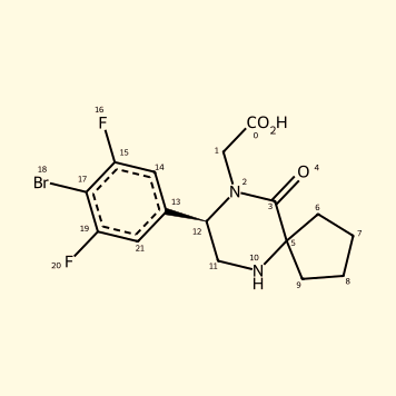 O=C(O)CN1C(=O)C2(CCCC2)NC[C@H]1c1cc(F)c(Br)c(F)c1